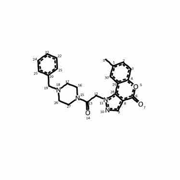 Cc1ccc2oc(=O)c3cnn(CC(=O)N4CCN(Cc5ccccc5)CC4)c3c2c1